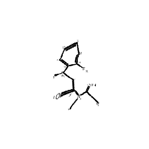 CC(=N)N(C)C(=O)C[C@@H](C)c1ccccc1F